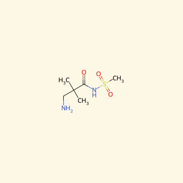 CC(C)(CN)C(=O)NS(C)(=O)=O